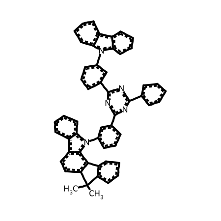 CC1(C)c2ccccc2-c2c1ccc1c3ccccc3n(-c3cccc(-c4nc(-c5ccccc5)nc(-c5cccc(-n6c7ccccc7c7ccccc76)c5)n4)c3)c21